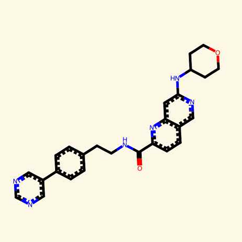 O=C(NCCc1ccc(-c2cncnc2)cc1)c1ccc2cnc(NC3CCOCC3)cc2n1